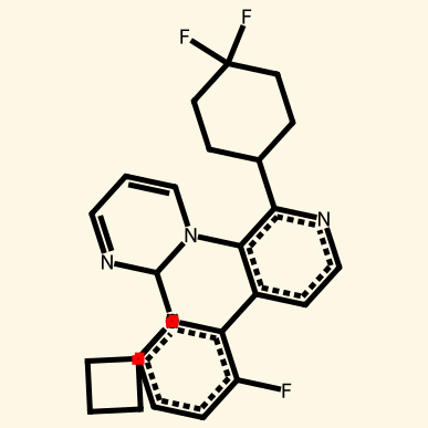 Fc1cccnc1-c1ccnc(C2CCC(F)(F)CC2)c1N1C=CC=NC1OC1CCC1